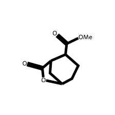 COC(=O)C1CCC2CC1C(=O)O2